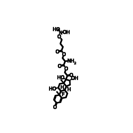 C[C@]12C=CC(=O)C=C1CC[C@H]1[C@@H]3C[C@@H](O)[C@](O)(C(=O)COC(=O)C(N)COC(=O)CCCON(O)O)[C@@]3(C)C[C@H](O)[C@@]12F